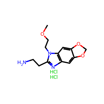 COCCn1c(CCN)nc2cc3c(cc21)OCO3.Cl.Cl